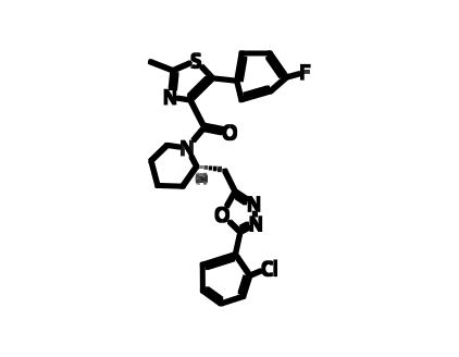 Cc1nc(C(=O)N2CCCC[C@H]2Cc2nnc(-c3ccccc3Cl)o2)c(-c2ccc(F)cc2)s1